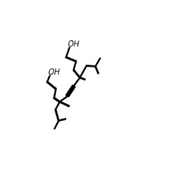 CC(C)CC(C)(C#CC(C)(CCCO)CC(C)C)CCCO